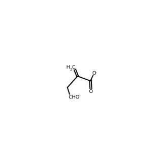 C=C(C[C]=O)C([O])=O